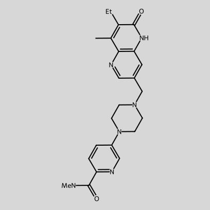 CCc1c(C)c2ncc(CN3CCN(c4ccc(C(=O)NC)nc4)CC3)cc2[nH]c1=O